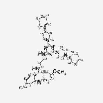 COc1ccc2nc3cc(Cl)ccc3c(NCCCNc3nc(N4CCN(c5ccccc5)CC4)nc(N4CCN(c5ccccc5)CC4)n3)c2c1